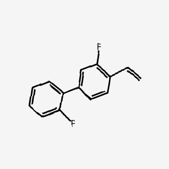 C=Cc1ccc(-c2ccccc2F)cc1F